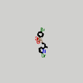 CC(CCSS(=O)(=O)c1ccc(Br)cc1)c1cccc(Br)n1